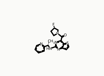 C[C@H](Nc1nc(C(=O)N2CC[C@@H](F)C2)c2sccc2n1)c1ccccn1